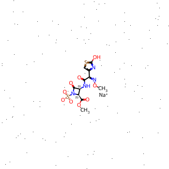 CON=C(C(=O)N[C@@H]1C(=O)N(S(=O)(=O)[O-])[C@@H]1C(=O)OC)c1csc(O)n1.[Na+]